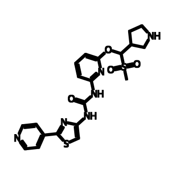 CS(=O)(=O)C(Oc1cccc(NC(=O)Nc2csc(-c3ccncc3)n2)n1)C1CCNC1